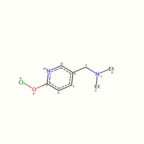 CCN(CC)Cc1ccc(OCl)nc1